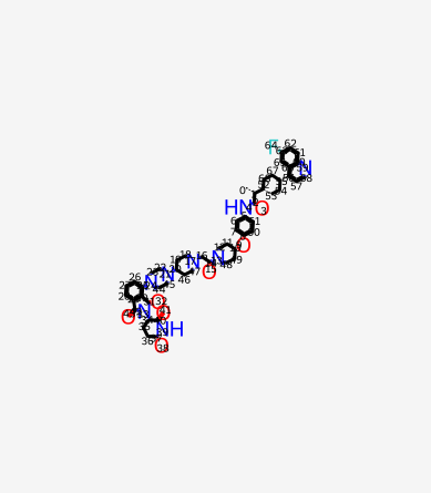 C[C@@H](C(=O)Nc1ccc(OC2CCN(C(=O)CN3CCC(N4CCN(c5cccc6c5C(=O)N(C5CCC(=O)NC5=O)C6=O)CC4)CC3)CC2)cc1)[C@H]1CC[C@@H](c2ccnc3ccc(F)cc32)CC1